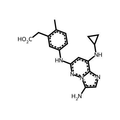 Cc1ccc(Nc2cc(NC3CC3)c3ncc(N)n3n2)cc1CC(=O)O